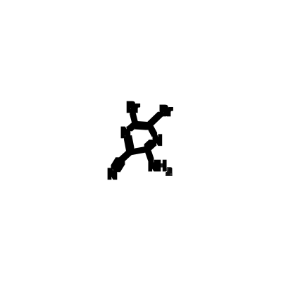 N#Cc1nc(Br)c(Br)nc1N